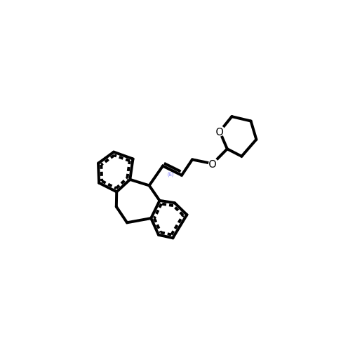 C(=C\C1c2ccccc2CCc2ccccc21)/COC1CCCCO1